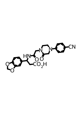 N#Cc1ccc(N2CCN(CC(=O)NC(CC(=O)O)c3ccc4c(c3)OCO4)C(=O)C2)cc1